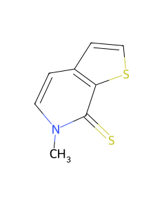 Cn1ccc2ccsc2c1=S